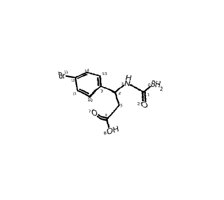 BC(=O)NC(CC(=O)O)c1ccc(Br)cc1